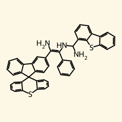 N/C(=C(\NC(N)c1cccc2c1sc1ccccc12)c1ccccc1)c1ccc2c(c1)-c1ccccc1C21c2ccccc2Sc2ccccc21